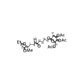 CC[C@@H]1C[C@H](OC)[C@H](CCCNC(=O)CCCCO[C@@H]2O[C@H](COC(C)=O)[C@H](OC(C)=O)[C@H](OC(C)=O)[C@H]2C)O1